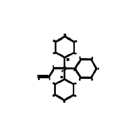 C=CC[Si](C1CCCCC1)(C1CCCCC1)C1CCCCC1